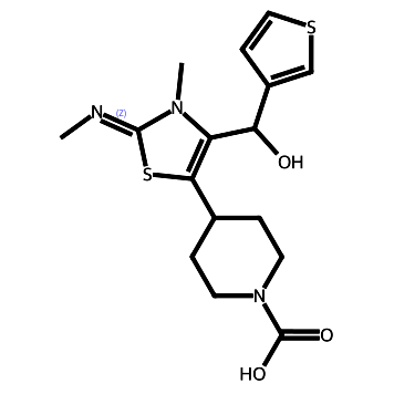 C/N=c1\sc(C2CCN(C(=O)O)CC2)c(C(O)c2ccsc2)n1C